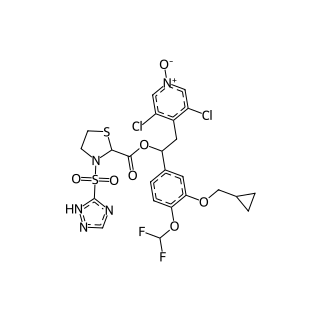 O=C(OC(Cc1c(Cl)c[n+]([O-])cc1Cl)c1ccc(OC(F)F)c(OCC2CC2)c1)C1SCCN1S(=O)(=O)c1ncn[nH]1